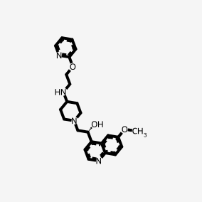 COc1ccc2nccc([C@@H](O)CN3CCC(NCCOc4ccccn4)CC3)c2c1